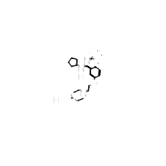 CN1CCN(CCOc2ccc3nc(C#N)nc(NC4CCCC4)c3c2)CC1